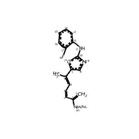 C=C(/C=C\C=C(/C)c1cnc(Nc2ccccc2F)o1)NC(C)=O